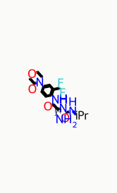 CC(C)NC(=O)N[C@H](CN)C(=O)Nc1ccc(N2CCOCC2=O)cc1C(F)F